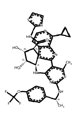 Cc1nc(N[C@H](C)c2ccc(OC(F)(F)F)cc2)nc(N[C@@H]2C[C@H](C(=O)Nc3nccs3)[C@@H](O)[C@H]2O)c1-c1nc2c(C3CC3)nccc2s1